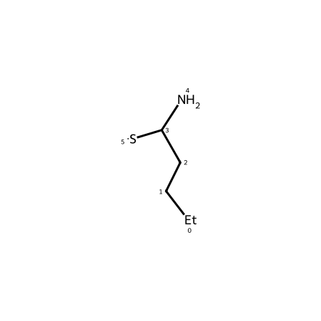 CCCCC(N)[S]